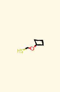 SCOC1CCC1